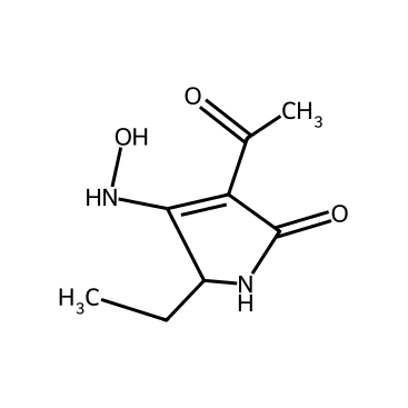 CCC1NC(=O)C(C(C)=O)=C1NO